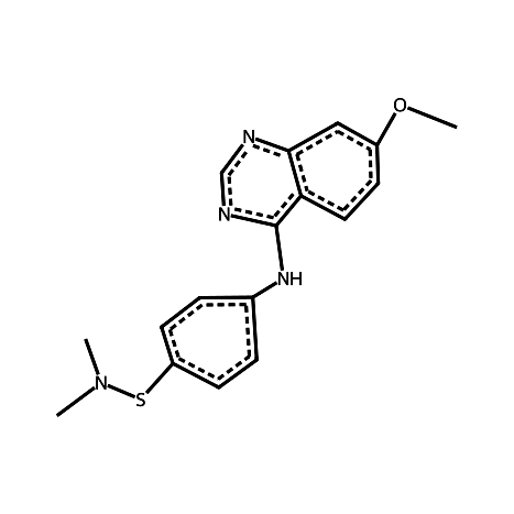 COc1ccc2c(Nc3ccc(SN(C)C)cc3)ncnc2c1